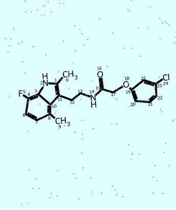 Cc1[nH]c2c(F)ccc(C)c2c1CCNC(=O)COc1cccc(Cl)c1